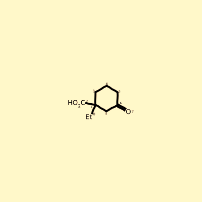 CCC1(C(=O)O)CCCC(=O)C1